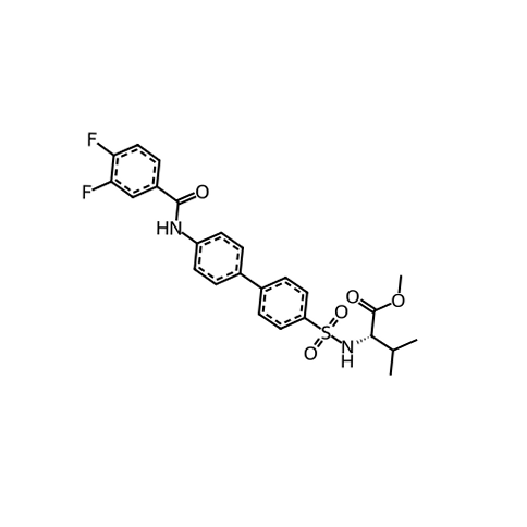 COC(=O)[C@@H](NS(=O)(=O)c1ccc(-c2ccc(NC(=O)c3ccc(F)c(F)c3)cc2)cc1)C(C)C